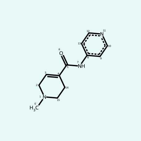 CN1CC=C(C(=O)Nc2ccncc2)CC1